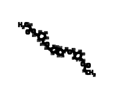 C=CC(=O)OCC1CCC(COCC2CC3CC2C2CC(COCC4CCCC(COC(=O)C=C)C4)CC32)CC1